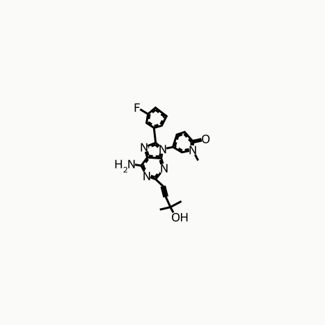 Cn1cc(-n2c(-c3cccc(F)c3)nc3c(N)nc(C#CC(C)(C)O)nc32)ccc1=O